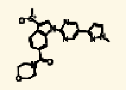 Cn1ccc(-c2cnc(-n3cc([S+](C)[O-])c4ccc(C(=O)N5CCOCC5)cc43)nc2)n1